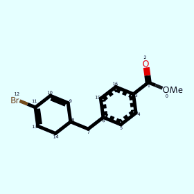 COC(=O)c1ccc(CC2C=CC(Br)=CC2)cc1